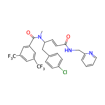 CN(C(=O)c1cc(C(F)(F)F)cc(C(F)(F)F)c1)C(C=CC(=O)NCc1ccccn1)Cc1ccc(Cl)cc1